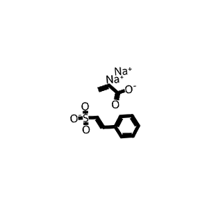 C=CC(=O)[O-].O=S(=O)([O-])C=Cc1ccccc1.[Na+].[Na+]